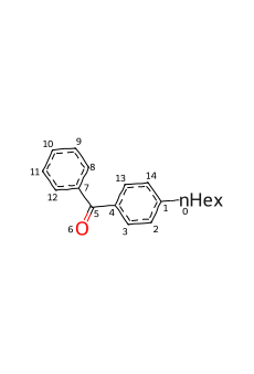 CCCCCCc1ccc(C(=O)c2ccccc2)cc1